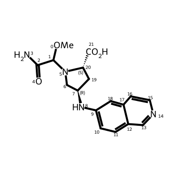 COC(C(N)=O)N1C[C@H](Nc2ccc3cnccc3c2)C[C@H]1C(=O)O